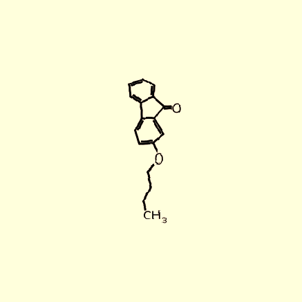 CCCCOc1ccc2c(c1)C(=O)c1ccccc1-2